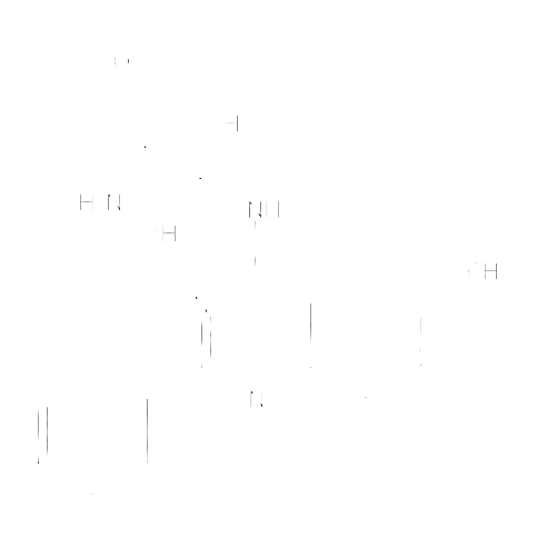 [2H]C([2H])(Nc1nc(C2CC=CCC2)nc2ccc(C)cc12)C1(N)COC1